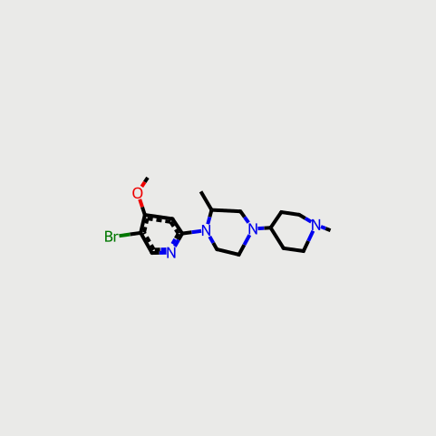 COc1cc(N2CCN(C3CCN(C)CC3)CC2C)ncc1Br